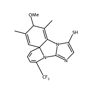 COC1C(C)=CC23C=CC=C(C(F)(F)F)N2c2ncc(S)n2C3=C1C